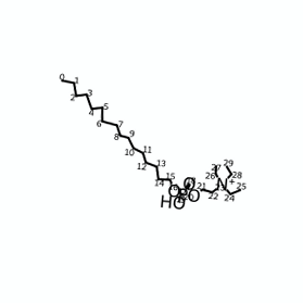 CCCCCCCCCCCCCCCCOP(=O)(O)OCC[N+](CC)(CC)CC